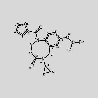 O=C(c1ccno1)N1CCC(=O)N(C2CC2)Cc2cc(OC(F)F)ccc21